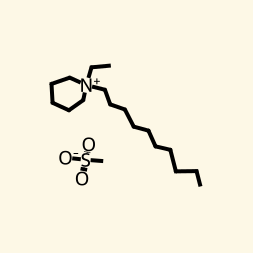 CCCCCCCCCC[N+]1(CC)CCCCC1.CS(=O)(=O)[O-]